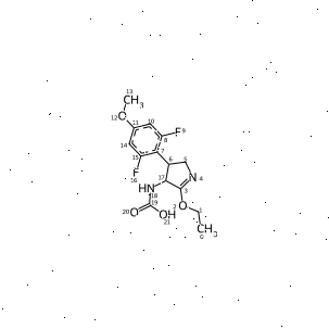 CCOC1=NCC(c2c(F)cc(OC)cc2F)C1NC(=O)O